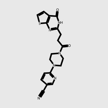 N#Cc1ccc(N2CCN(C(=O)CCc3nc4sccc4c(=O)[nH]3)CC2)nc1